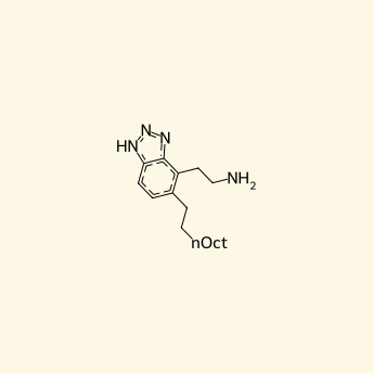 CCCCCCCCCCc1ccc2[nH]nnc2c1CCN